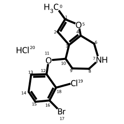 Cc1cc2c(o1)CNCCC2Oc1cccc(Br)c1Cl.Cl